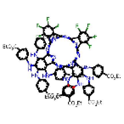 CCOC(=O)c1ccc(Nc2c(Nc3ccc(C(=O)OCC)cc3)c(Nc3ccc(C(=O)OCC)cc3)c3c(c2Nc2ccc(C(=O)OCC)cc2)-c2nc-3nc3[nH]c(nc4nc(nc5[nH]c(n2)c2c(F)c(F)c(F)c(F)c52)-c2c(F)c(F)c(F)c(F)c2-4)c2c(Nc4ccc(C(=O)OCC)cc4)c(Nc4ccc(C(=O)OCC)cc4)c(Nc4ccc(C(=O)OCC)cc4)c(Nc4ccc(C(=O)OCC)cc4)c32)cc1